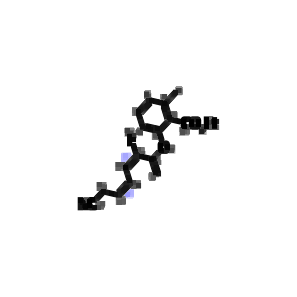 C=C(Oc1cccc(C)c1C(=O)OCC)/C(F)=C\C=C/CC#N